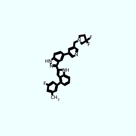 Cc1cc(F)cc(-c2cccc3[nH]c(-c4n[nH]c5ccc(-c6cncc(CN7CCC(F)(F)C7)c6)cc45)cc23)c1